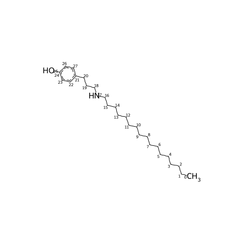 CCCCCCCCCCCCCCCCCNCCCc1ccc(O)cc1